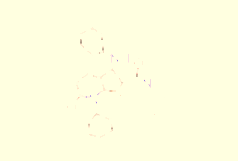 O=C(c1sc2c(ccc(=O)n2-c2ccccc2Cl)c1Nc1ccc(F)cc1F)N1CC[C@H](O)C1